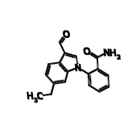 CCc1ccc2c(C=O)cn(-c3ccccc3C(N)=O)c2c1